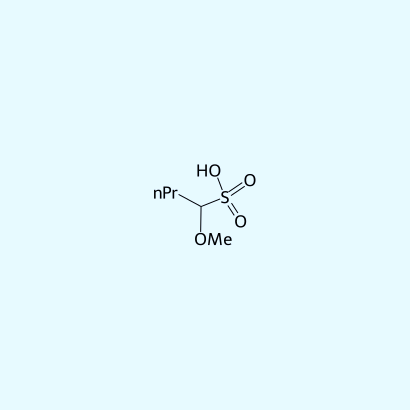 [CH2]CCC(OC)S(=O)(=O)O